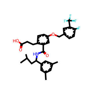 Cc1cc(C)cc(C(CC(C)C)NC(=O)c2cc(OCc3ccc(F)c(C(F)(F)F)c3)ccc2CCC(=O)O)c1